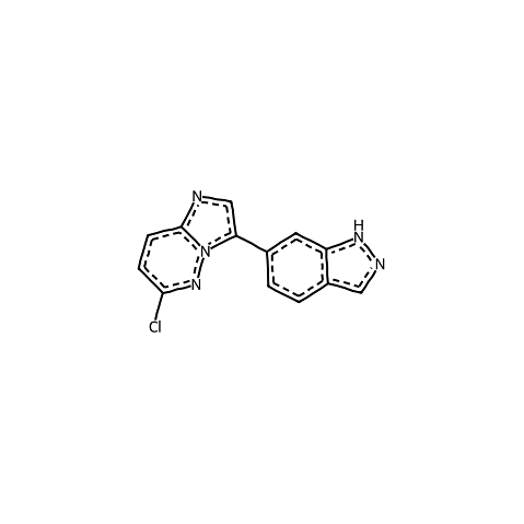 Clc1ccc2ncc(-c3ccc4cn[nH]c4c3)n2n1